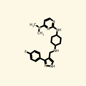 CN(C)c1ccnc(NC2CCC(NCc3c[nH]nc3-c3ccc(F)cc3)CC2)n1